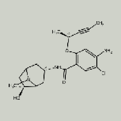 CC#C[C@H](C)Oc1cc(N)c(Cl)cc1C(=O)N[C@H]1CC2C[C@H](O)C(C1)N2C